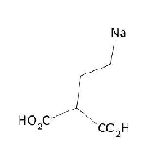 O=C(O)C(C[CH2][Na])C(=O)O